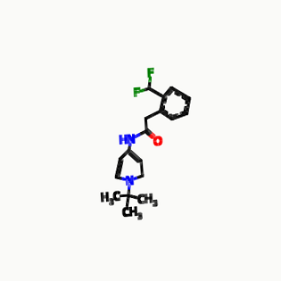 CC(C)(C)N1C=CC(NC(=O)Cc2ccccc2C(F)F)=CC1